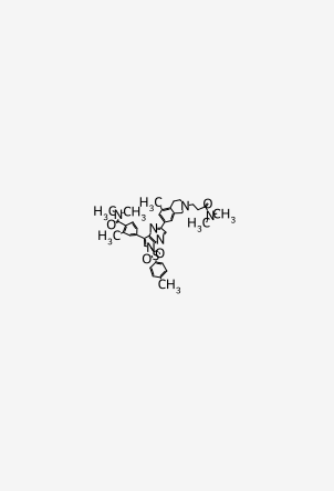 Cc1ccc(S(=O)(=O)n2cc(-c3ccc(C(=O)N(C)C)c(C)c3)c3nc(-c4cc(C)c5c(c4)CN(CCC(=O)N(C)C)CC5)cnc32)cc1